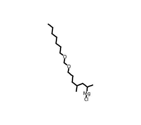 CCCCCCCOCOCCCC(C)C[CH](C)[Mg][Cl]